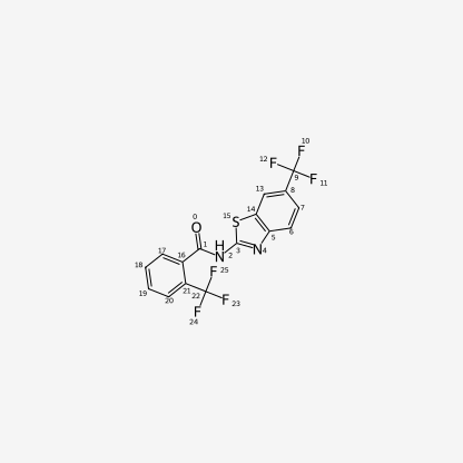 O=C(Nc1nc2ccc(C(F)(F)F)cc2s1)c1ccccc1C(F)(F)F